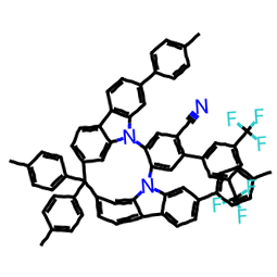 Cc1ccc(-c2ccc3c4ccc5cc4n(c3c2)-c2cc(C#N)c(-c3cc(C(F)(F)F)cc(C(F)(F)F)c3)cc2-n2c3cc(-c4ccc(C)cc4)ccc3c3ccc(cc32)C5(c2ccc(C)cc2)c2ccc(C)cc2)cc1